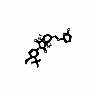 C[C@]12O[C@](C)(C[C@H]1COc1cccc(Cl)n1)[C@H]1C(=O)N(c3ccc(C#N)c(C(F)(F)F)c3)C(=O)[C@H]12